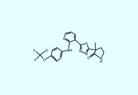 CC1(c2nnc(-c3cccnc3Nc3ccc(OC(F)(F)Cl)cc3)s2)CCNC1=O